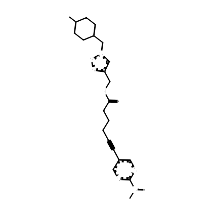 CC(=O)C1CCC(Cn2cc(CNC(=O)CCCC#Cc3cnc([S+](C)[O-])nc3)nn2)CC1